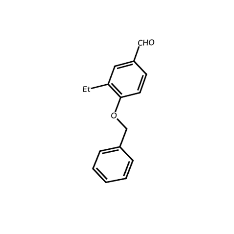 CCc1cc(C=O)ccc1OCc1ccccc1